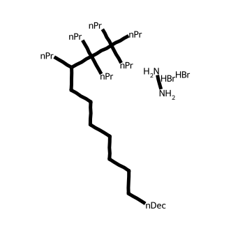 Br.Br.CCCCCCCCCCCCCCCCCC(CCC)C(CCC)(CCC)C(CCC)(CCC)CCC.NN